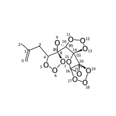 C=C(C)CC1OOO[C@]12O[C@@]21OOO[C@@]12OC13OOO[C@@]12O3